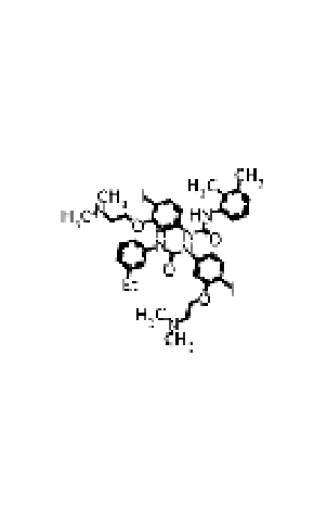 CCc1cccc(NC(=O)N(c2ccc(I)c(OCCN(C)C)c2)N(C(=O)Nc2cccc(C)c2C)c2ccc(I)c(OCCN(C)C)c2)c1